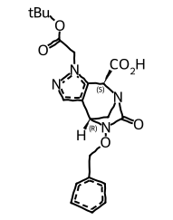 CC(C)(C)OC(=O)Cn1ncc2c1[C@@H](C(=O)O)N1C[C@@H]2N(OCc2ccccc2)C1=O